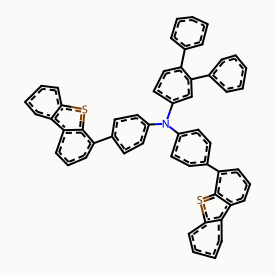 c1ccc(-c2ccc(N(c3ccc(-c4cccc5c4sc4ccccc45)cc3)c3ccc(-c4cccc5c4sc4ccccc45)cc3)cc2-c2ccccc2)cc1